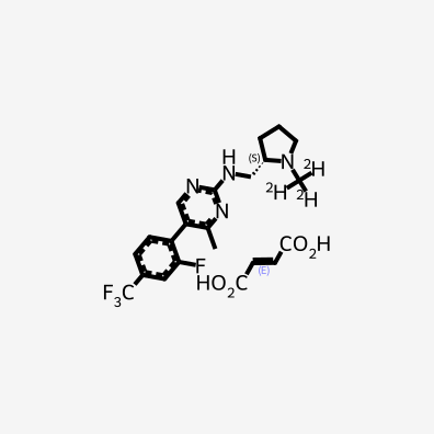 O=C(O)/C=C/C(=O)O.[2H]C([2H])([2H])N1CCC[C@H]1CNc1ncc(-c2ccc(C(F)(F)F)cc2F)c(C)n1